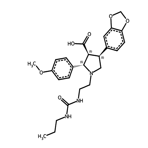 CCCNC(=O)NCCN1C[C@H](c2ccc3c(c2)OCO3)[C@H](C(=O)O)[C@H]1c1ccc(OC)cc1